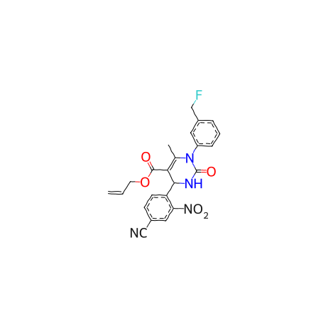 C=CCOC(=O)C1=C(C)N(c2cccc(CF)c2)C(=O)NC1c1ccc(C#N)cc1[N+](=O)[O-]